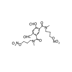 CN(CCCO[N+](=O)[O-])C(=O)c1cc(C(=O)N(C)CCCO[N+](=O)[O-])c(C=O)cc1C=O